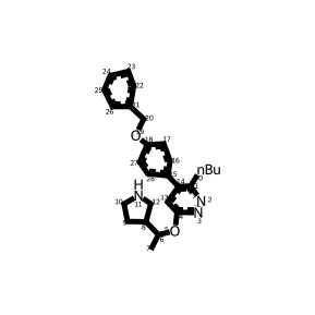 CCCCc1nnc(OC(C)C2CCNC2)cc1-c1ccc(OCc2ccccc2)cc1